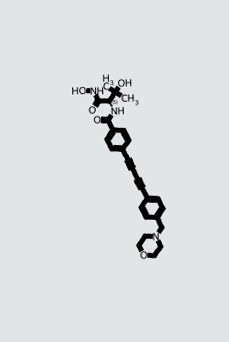 CC(C)(O)[C@H](NC(=O)c1ccc(C#CC#Cc2ccc(CN3CCOCC3)cc2)cc1)C(=O)NO